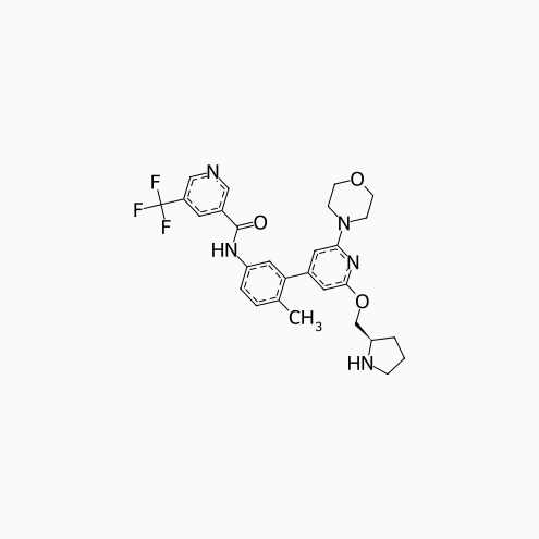 Cc1ccc(NC(=O)c2cncc(C(F)(F)F)c2)cc1-c1cc(OC[C@H]2CCCN2)nc(N2CCOCC2)c1